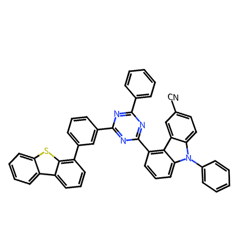 N#Cc1ccc2c(c1)c1c(-c3nc(-c4ccccc4)nc(-c4cccc(-c5cccc6c5sc5ccccc56)c4)n3)cccc1n2-c1ccccc1